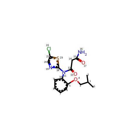 CC(C)COc1ccccc1N(C(=O)CC(N)=O)c1ncc(Cl)s1